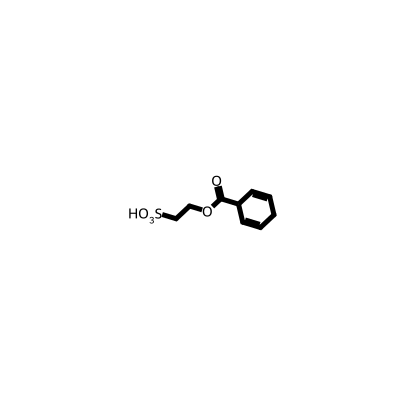 O=C(OCCS(=O)(=O)O)C1C=CCC=C1